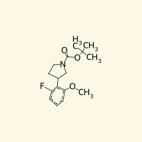 COc1cccc(F)c1C1CCN(C(=O)OC(C)(C)C)C1